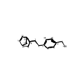 BrCc1ccc(CCC2CC3C=CC2C3)cc1